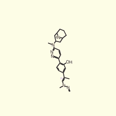 C=NN(C)/C=C(\C)c1ccc(-c2ccc(N(C)C3CC4CCCC(C3)N4)nn2)c(O)c1